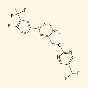 CC(F)(F)c1cc(N(N)/C=C(\N)COc2ncc(C(F)F)cn2)ccc1F